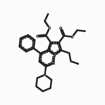 CCCc1c(C(=O)OCC)c(C(=O)OCC)c2c(-c3ccccc3)cc(N3CCCCC3)nn12